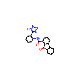 O=C(Nc1ccccc1-c1nnn[nH]1)c1cccc2c1C(=O)c1ccccc1-2